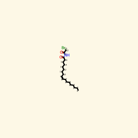 CCCCCCCC/C=C\CCCCCCCC(=O)NC(=O)CBr